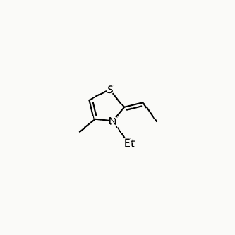 CC=C1SC=C(C)N1CC